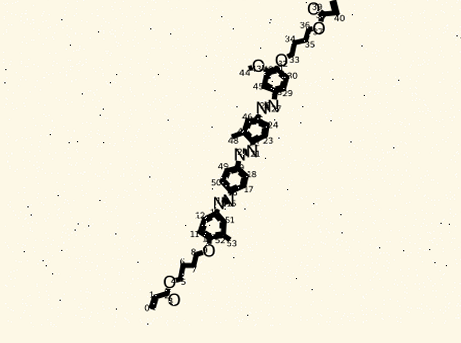 C=CC(=O)OCCCCOc1ccc(N=Nc2ccc(N=Nc3ccc(N=Nc4ccc(OCCCCOC(=O)C=C)c(OC)c4)cc3C)cc2)cc1C